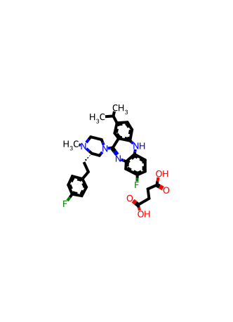 CC(C)c1ccc2c(c1)C(N1CCN(C)[C@@H](CCc3ccc(F)cc3)C1)=Nc1cc(F)ccc1N2.O=C(O)CCC(=O)O